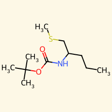 CCCC(CSC)NC(=O)OC(C)(C)C